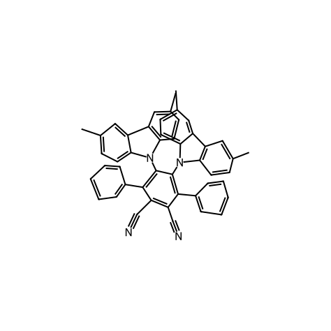 Cc1ccc2c(c1)c1cc(C)ccc1n2-c1c(-c2ccccc2)c(C#N)c(C#N)c(-c2ccccc2)c1-n1c2ccc(C)cc2c2cc(C)ccc21